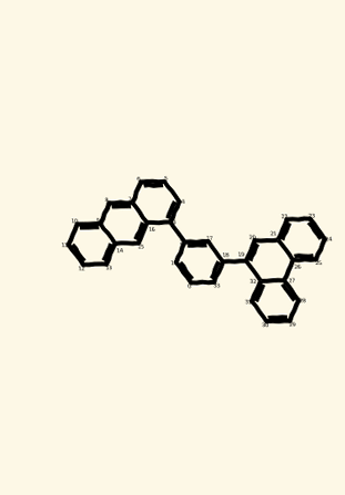 c1cc(-c2cccc3cc4ccccc4cc23)cc(-c2cc3ccccc3c3ccccc23)c1